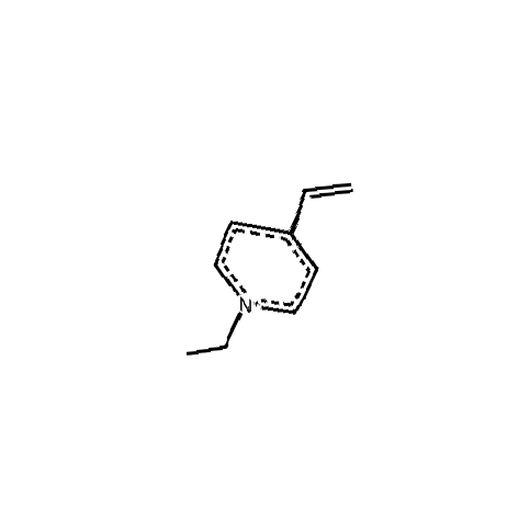 C=Cc1cc[n+](CC)cc1